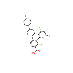 CC1CCC(C2CCC(c3ccc(C(=O)O)c(F)c3-c3cc(F)c(F)c(F)c3)CC2)CC1